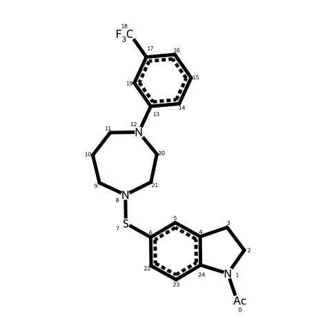 CC(=O)N1CCc2cc(SN3CCCN(c4cccc(C(F)(F)F)c4)CC3)ccc21